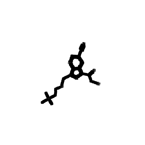 C[Si](C)(C)CCOCn1nc(C(=O)CBr)c2cc(C#N)cnc21